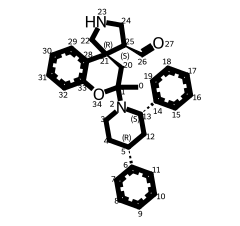 CC1(N2CC[C@@H](c3ccccc3)C[C@H]2c2ccccc2)C[C@]2(CNC[C@H]2C=O)c2ccccc2O1